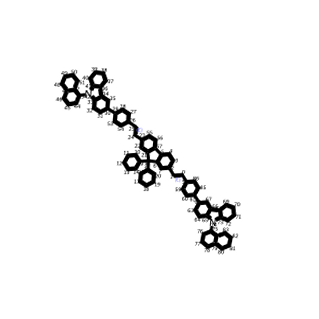 C(=C\c1ccc2c(c1)C(c1ccccc1)(c1ccccc1)c1cc(/C=C/c3ccc(-c4ccc5c(c4)c4ccccc4n5-c4cccc5ccccc45)cc3)ccc1-2)/c1ccc(-c2ccc3c(c2)c2ccccc2n3-c2cccc3ccccc23)cc1